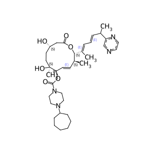 C/C(=C\C=C\C(C)c1cnccn1)[C@H]1OC(=O)C[C@@H](O)CC[C@](C)(O)[C@H](OC(=O)N2CCN(C3CCCCCC3)CC2)/C=C/[C@@H]1C